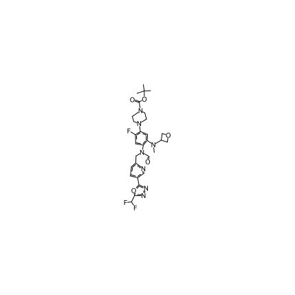 CN(c1cc(N2CCN(C(=O)OC(C)(C)C)CC2)c(F)cc1N(C=O)Cc1ccc(-c2nnc(C(F)F)o2)cn1)C1COC1